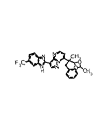 CC1OC(C(C)(Cc2ccccc2)c2ccnc3c(-c4nc5ccc(C(F)(F)F)cc5[nH]4)cnn23)O1